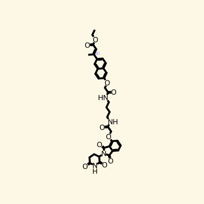 CCOC(=O)/C=C(\C)c1ccc2cc(OCC(=O)NCCCCNC(=O)COc3cccc4c3C(=O)N(C3CCC(=O)NC3=O)C4=O)ccc2c1